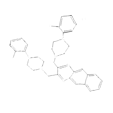 Cl.Fc1ccccc1N1CCN(Cc2nc3cc4ccccc4cc3nc2CN2CCN(c3ccccc3F)CC2)CC1